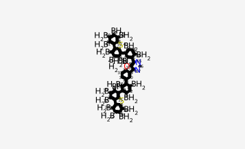 Bc1cc(B)c(-c2c(B)c(B)c(B)c3c2sc2c(B)c(B)c(B)c(B)c23)c(B)c1-c1ccc2oc3c(-c4c(B)cc(B)c(-c5c(B)c(B)c(B)c6c5sc5c(B)c(B)c(B)c(B)c56)c4B)ncnc3c2c1